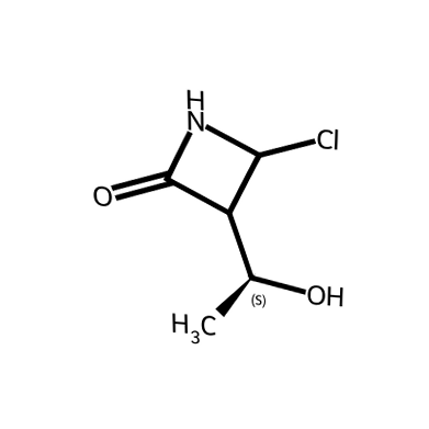 C[C@H](O)C1C(=O)NC1Cl